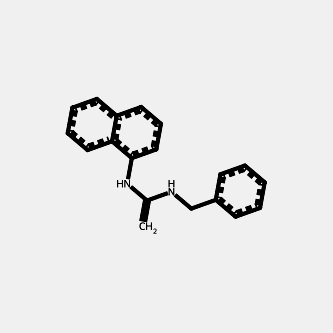 C=C(NCc1ccccc1)Nc1cccc2ccccc12